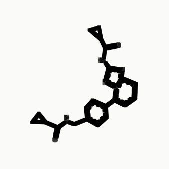 O=C(NCc1ccc(-c2cccc3nc(NC(=O)C4CC4)nn23)cc1)C1CC1